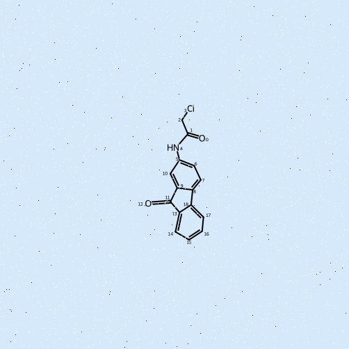 O=C(CCl)Nc1ccc2c(c1)C(=O)c1ccccc1-2